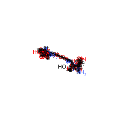 CCC1CC(C(=O)NCCN)C[C@@H](O[C@@H]2OC(CO)[C@H](O)C(O[C@@H](CC3CCCCC3)C(=O)O)C2NC(=O)CCCn2cc(COCCOCCOCCOCCOCc3cn(CCCC(=O)NC4C(O[C@@H](CC5CCCCC5)C(=O)O)[C@@H](O)C(CO)O[C@H]4O[C@@H]4CC(C(=O)NCCN)CC(CC)C4O[C@@H]4OC(C)CC(O)(CO)C4O)nn3)nn2)C1C[C@@H]1OC(C)[C@@H](O)C(O)C1O